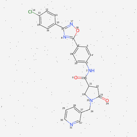 O=C(Nc1ccc(-c2nc(-c3ccc(Cl)cc3)no2)cc1)C1CC(=O)N(Cc2cccnc2)C1